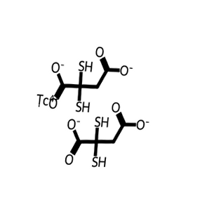 O=C([O-])CC(S)(S)C(=O)[O-].O=C([O-])CC(S)(S)C(=O)[O-].[Tc+4]